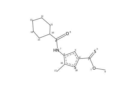 COC(=S)c1cc(NC(=O)C2CCCCC2)c(C)s1